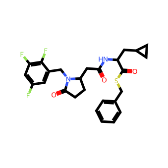 O=C(CC1CCC(=O)N1Cc1cc(F)cc(F)c1F)NC(CC1CC1)C(=O)SCc1ccccc1